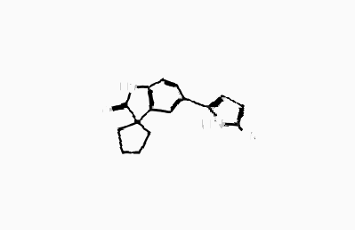 N#Cc1ccc(-c2ccc3c(c2)C2(CCCC2)C(=O)N3)[nH]1